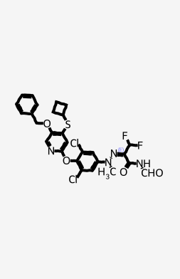 CN(/N=C(\C(=O)NC=O)C(F)F)c1cc(Cl)c(Oc2cc(SC3CCC3)c(OCc3ccccc3)cn2)c(Cl)c1